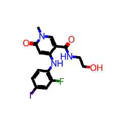 Cn1cc(C(=O)NCCO)c(Nc2ccc(I)cc2F)cc1=O